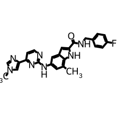 Cc1cc(Nc2nccc(-c3cn(C)cn3)n2)cc2cc(C(=O)NCc3ccc(F)cc3)[nH]c12